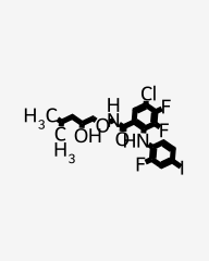 CC(C)CC(O)CONC(=O)c1cc(Cl)c(F)c(F)c1Nc1ccc(I)cc1F